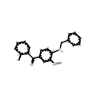 COc1cc(C(=O)c2ccccc2C)ccc1OCc1ccccc1